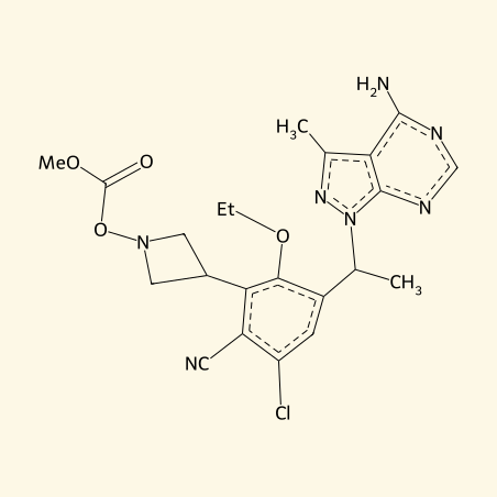 CCOc1c(C(C)n2nc(C)c3c(N)ncnc32)cc(Cl)c(C#N)c1C1CN(OC(=O)OC)C1